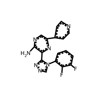 Nc1ncc(-c2ccncc2)nc1-c1nncn1-c1cccc(F)c1F